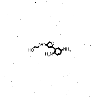 Nc1ccc(N)c(C2=CC(=C=NCCO)CO2)c1